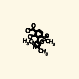 Cc1cc(-c2c(S(C)(=O)=O)ccc(C(=O)Cl)c2Cl)n(C)n1